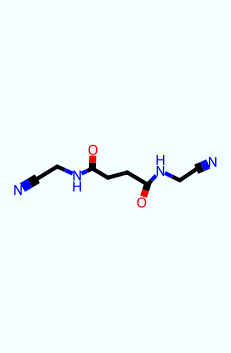 N#CCNC(=O)CCC(=O)NCC#N